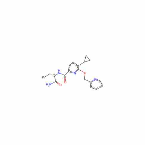 CC(C)C[C@H](NC(=O)c1ccc(C2CC2)c(OCc2ccccn2)n1)C(N)=O